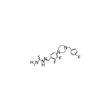 NC(=S)NN=Cc1ccc(N2CCCN(Cc3ccc(F)cc3)CC2)c(F)c1F